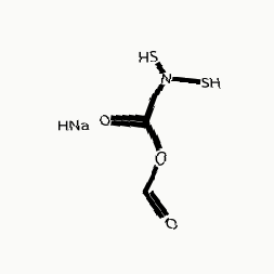 O=COC(=O)N(S)S.[NaH]